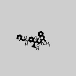 CCC(Cc1ccccc1)C1OC(=O)C(C(c2cccc(NC(=O)Cc3ccccn3)c2)C2CC2)=C(O)C1=O